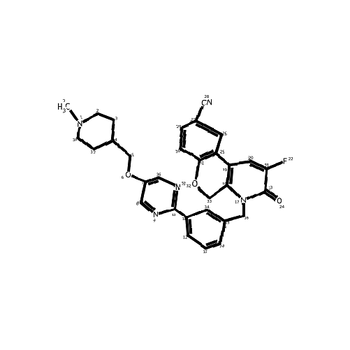 CN1CCC(COc2cnc(-c3cccc(Cn4c5c(cc(F)c4=O)-c4cc(C#N)ccc4OC5)c3)nc2)CC1